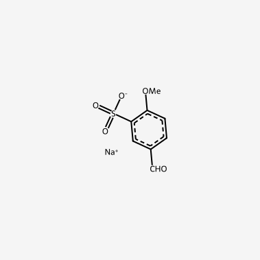 COc1ccc(C=O)cc1S(=O)(=O)[O-].[Na+]